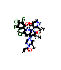 C=CC(=O)N1CCN(c2c(C#N)c(=O)n(C3C(C(C)C)=NC=CC3C)c3nc(-c4c(O)c(F)c(Cl)c(F)c4F)c(Cl)cc23)C[C@H]1C